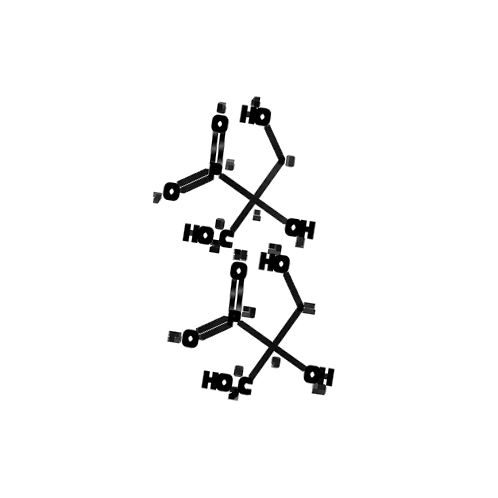 O=C(O)C(O)(CO)P(=O)=O.O=C(O)C(O)(CO)P(=O)=O